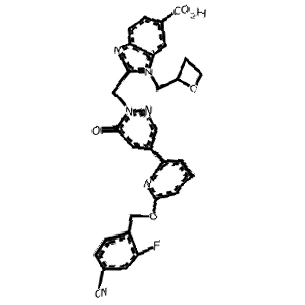 N#Cc1ccc(COc2cccc(-c3cnn(Cc4nc5ccc(C(=O)O)cc5n4CC4CCO4)c(=O)c3)n2)c(F)c1